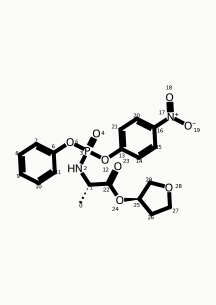 C[C@H](NP(=O)(Oc1ccccc1)Oc1ccc([N+](=O)[O-])cc1)C(=O)O[C@@H]1CCOC1